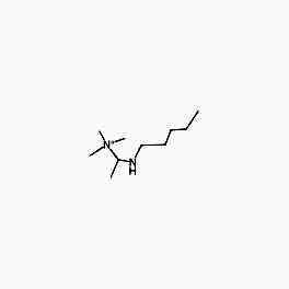 CCCCCNC(C)[N+](C)(C)C